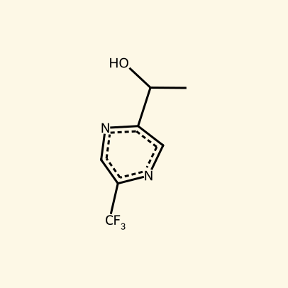 CC(O)c1cnc(C(F)(F)F)cn1